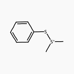 C[S+](C)Sc1ccccc1